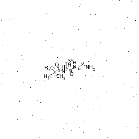 CC(C)(C)C(=O)NC(CS)C(=O)NCCN